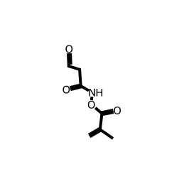 C=C(C)C(=O)ONC(=O)CC=O